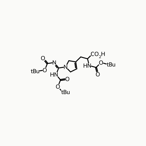 CC(C)(C)OC(=O)N=C(NC(=O)OC(C)(C)C)N1CC=C(CC(NC(=O)OC(C)(C)C)C(=O)O)C1